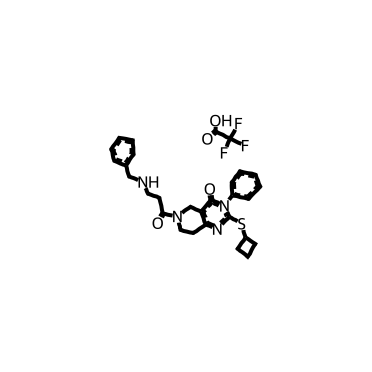 O=C(CCNCc1ccccc1)N1CCc2nc(SC3CCC3)n(-c3ccccc3)c(=O)c2C1.O=C(O)C(F)(F)F